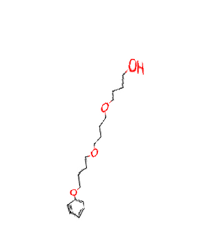 OCCCCOCCCCOCCCCOc1ccccc1